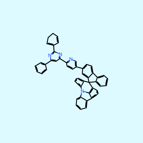 C1=CC(c2nc(-c3ccccc3)cc(-c3ccc(-c4ccc5c(c4)C4(c6ccccc6-5)c5ccccc5-n5c6ccccc6c6cccc4c65)cn3)n2)=CCC1